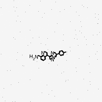 Cc1ccc(-c2cnc3c(-c4ccnc5c(CN)cccc45)cnn3c2)cc1